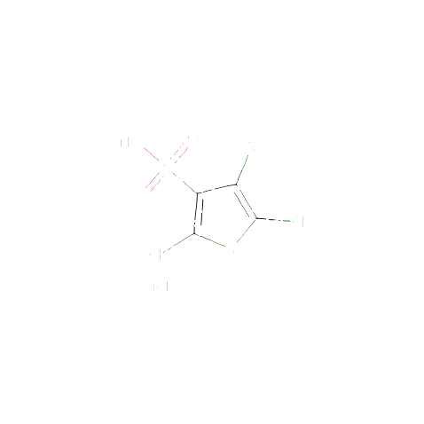 Cl.O=S(=O)(O)c1c(Cl)sc(Cl)c1Br